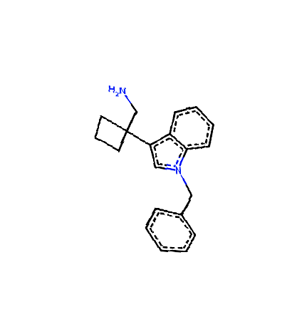 NCC1(c2cn(Cc3ccccc3)c3ccccc23)CCC1